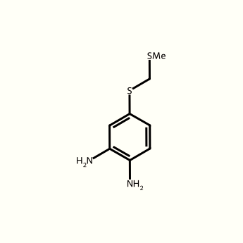 CSCSc1ccc(N)c(N)c1